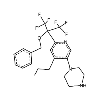 CCCc1cc(C(OCc2ccccc2)(C(F)(F)F)C(F)(F)F)ncc1N1CCNCC1